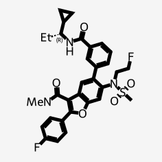 CC[C@@H](NC(=O)c1cccc(-c2cc3c(C(=O)NC)c(-c4ccc(F)cc4)oc3cc2N(CCF)S(C)(=O)=O)c1)C1CC1